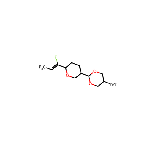 CCCC1COC(C2CCC(/C(F)=C/C(F)(F)F)OC2)OC1